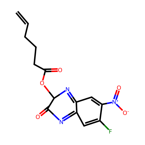 C=CCCCC(=O)OC1N=c2cc([N+](=O)[O-])c(F)cc2=NC1=O